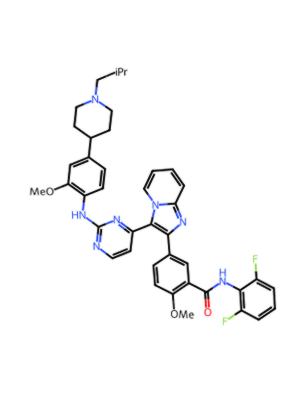 COc1cc(C2CCN(CC(C)C)CC2)ccc1Nc1nccc(-c2c(-c3ccc(OC)c(C(=O)Nc4c(F)cccc4F)c3)nc3ccccn23)n1